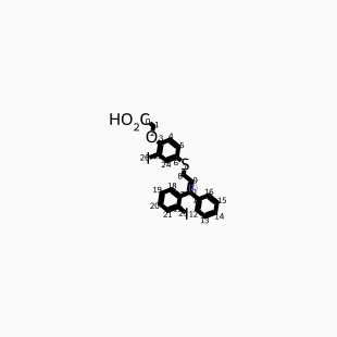 O=C(O)COc1ccc(SC/C=C(/c2ccccc2)c2ccccc2I)cc1I